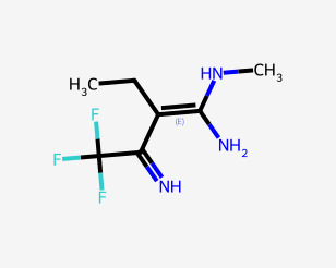 CC/C(C(=N)C(F)(F)F)=C(/N)NC